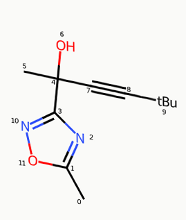 Cc1nc(C(C)(O)C#CC(C)(C)C)no1